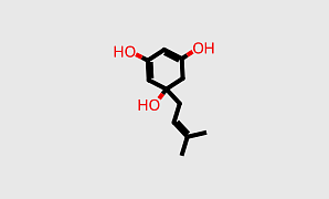 CC(C)=CCC1(O)C=C(O)C=C(O)C1